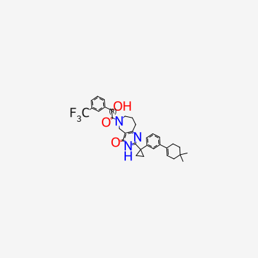 CC1(C)CC=C(c2cccc(C3(c4nc5c(c(=O)[nH]4)CN(C(=O)[C@H](O)c4cccc(C(F)(F)F)c4)CCC5)CC3)c2)CC1